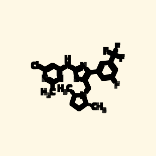 Cc1nc(Cl)cc(Nc2nc(-c3cc(F)cc(C(F)(F)F)c3)c(CN3[C@H](C)CC[C@H]3C)s2)n1